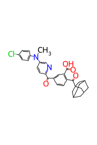 CN(c1ccc(Cl)cc1)c1ccc(C(=O)c2ccc(C(=O)C34CC5CC(CC(C5)C3)C4)c(C(=O)O)c2)nc1